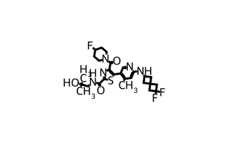 Cc1cc(NC2CC3(C2)CC(F)(F)C3)ncc1-c1sc(C(=O)NCC(C)(C)O)nc1C(=O)N1CCC(F)CC1